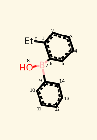 CCc1ccccc1B(O)c1ccccc1